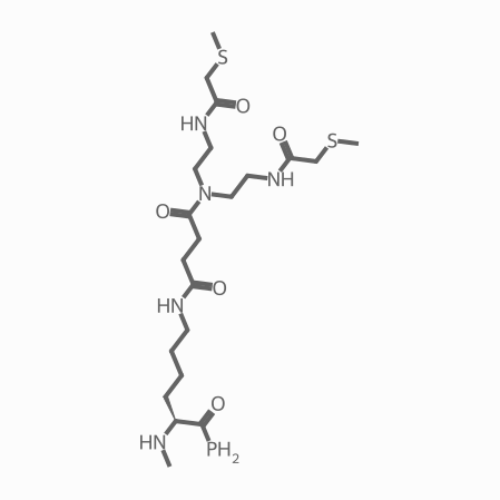 CN[C@@H](CCCCNC(=O)CCC(=O)N(CCNC(=O)CSC)CCNC(=O)CSC)C(=O)P